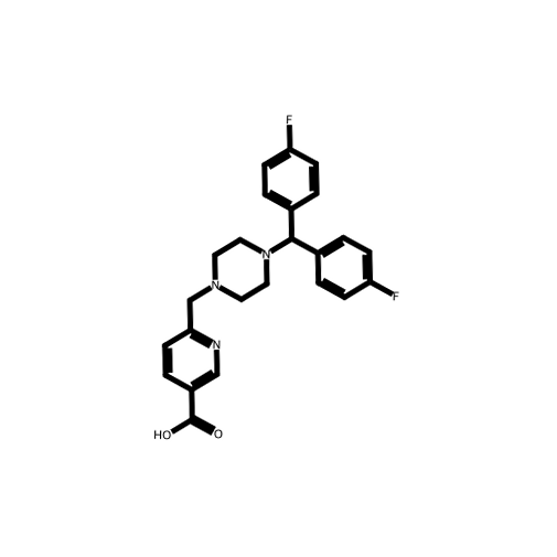 O=C(O)c1ccc(CN2CCN(C(c3ccc(F)cc3)c3ccc(F)cc3)CC2)nc1